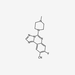 CN1CCN(c2nc3cc(F)c(C#N)cc3c3ncnn23)CC1